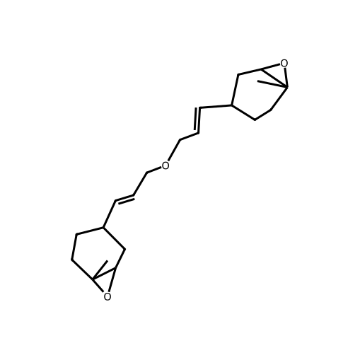 CC12CCC(C=CCOCC=CC3CCC4(C)OC4C3)CC1O2